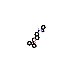 O=C(c1ccc2c3c(ccc2c1)OC(c1ccccc1)(c1ccccc1)C=C3)n1ccc2ccccc21